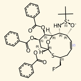 C[C@@H]1/C=C\C[C@@H](CF)S[C@H]2O[C@H]([C@@H]1N[S@+]([O-])C(C)(C)C)[C@H](OC(=O)c1ccccc1)[C@H](OC(=O)c1ccccc1)[C@H]2OC(=O)c1ccccc1